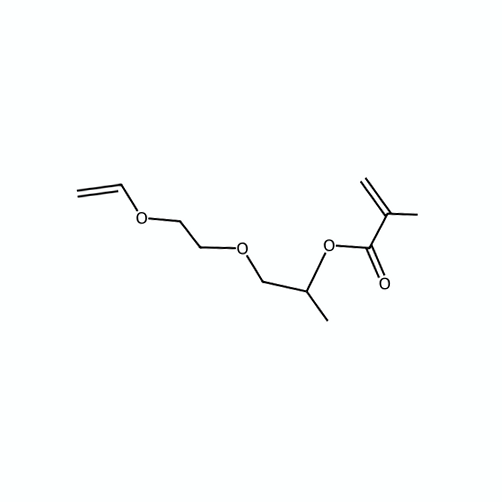 C=COCCOCC(C)OC(=O)C(=C)C